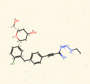 CCN/N=N\C(=N)C#Cc1ccc(Cc2cc([C@H]3CC(O)C[C@@H](CO)O3)ccc2Cl)cc1